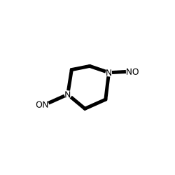 O=NN1CCN(N=O)CC1